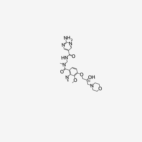 C=Nc1c(C(=O)N(C)CNC(=O)c2cnc(N)nc2)ccc(OC[C@@H](O)CN2CCOCC2)c1OC